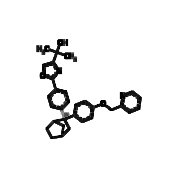 CC(C)(O)c1coc(-c2ccc([C@]3(c4ccc(OCc5ccccn5)cc4)CC4CCC3C4)cc2)n1